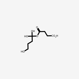 O=C(O)CCC(=O)OC(O)(O)CCCO